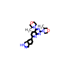 C[C@H]1COCCN1c1nc(N2CCOC[C@@H]2C)c2ccc(-c3ccc4c(c3)CNN=C4)nc2n1